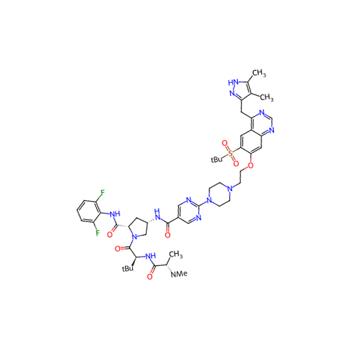 CN[C@@H](C)C(=O)N[C@H](C(=O)N1C[C@@H](NC(=O)c2cnc(N3CCN(CCOc4cc5ncnc(Cc6n[nH]c(C)c6C)c5cc4S(=O)(=O)C(C)(C)C)CC3)nc2)C[C@H]1C(=O)Nc1c(F)cccc1F)C(C)(C)C